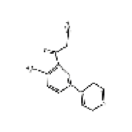 N#CCC(=O)c1nc(C2=CCN=CC2)ccc1N